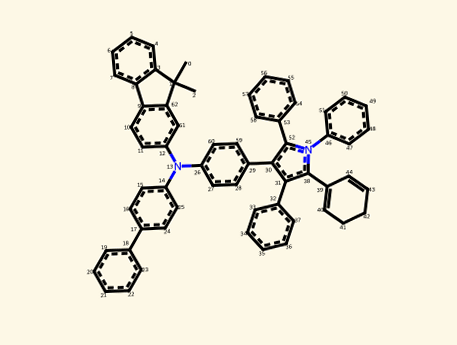 CC1(C)c2ccccc2-c2ccc(N(c3ccc(-c4ccccc4)cc3)c3ccc(-c4c(-c5ccccc5)c(C5=CCCC=C5)n(-c5ccccc5)c4-c4ccccc4)cc3)cc21